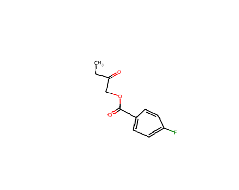 CCC(=O)COC(=O)c1ccc(F)cc1